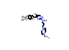 CC(C)[Si](Sc1ccc2cc(-c3nc(NCCCN4CCN(C)CC4)ncc3Cl)sc2c1)(C(C)C)C(C)C